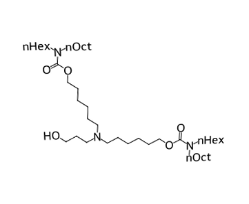 CCCCCCCCN(CCCCCC)C(=O)OCCCCCCN(CCCO)CCCCCCOC(=O)N(CCCCCC)CCCCCCCC